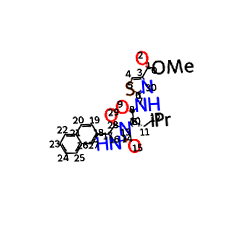 COC(=O)c1csc(NC(=O)[C@H](CC(C)C)N2C(=O)NC(c3ccc4ccccc4c3)C2=O)n1